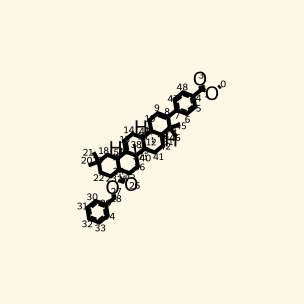 COC(=O)c1ccc(C2=CC[C@]3(C)[C@H]4CC=C5[C@@H]6CC(C)(C)CC[C@]6(C(=O)OCc6ccccc6)CC[C@@]5(C)[C@]4(C)CC[C@H]3C2(C)C)cc1